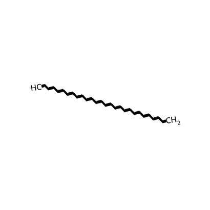 [CH]=CC=CC=CC=CC=CC=CC=CC=CC=CC=CC=CC=CC=CC=C